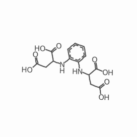 O=C(O)CC(Nc1ccccc1NC(CC(=O)O)C(=O)O)C(=O)O